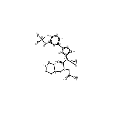 O=C(O)C[C@@H](CC1CCOCC1)C(=O)N(c1nc(-c2cccc(OC(F)(F)F)c2)cs1)C1CC1